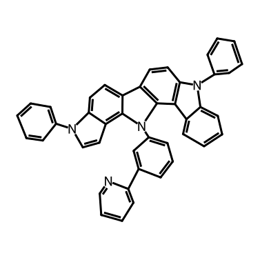 c1ccc(-n2ccc3c2ccc2c4ccc5c(c6ccccc6n5-c5ccccc5)c4n(-c4cccc(-c5ccccn5)c4)c23)cc1